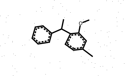 COc1cc(C)ccc1C(C)c1ccccc1